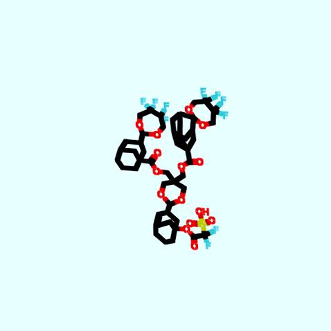 O=C(OCC1(COC(=O)C23CC4CC(C2)C2(OCC(F)(F)C(F)(F)CO2)C(C4)C3)COC(C2C=C3CCCC(OC(=O)C(F)(F)S(=O)(=O)O)(C3)C2)OC1)C12CCCC(CC(C3OCC(F)(F)C(F)(F)CO3)C1)C2